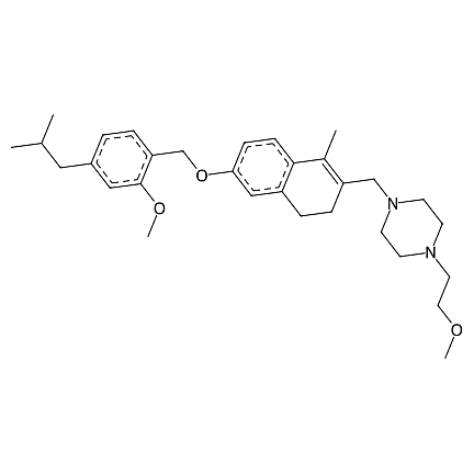 COCCN1CCN(CC2=C(C)c3ccc(OCc4ccc(CC(C)C)cc4OC)cc3CC2)CC1